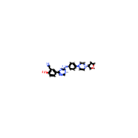 N#Cc1cc(-c2ncnc(Nc3ccc(N4CCN(C5CCOC5)CC4)cc3)n2)ccc1O